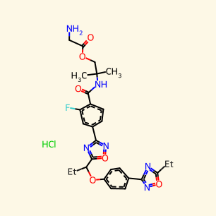 CCc1nc(-c2ccc(OC(CC)c3nc(-c4ccc(C(=O)NC(C)(C)COC(=O)CN)c(F)c4)no3)cc2)no1.Cl